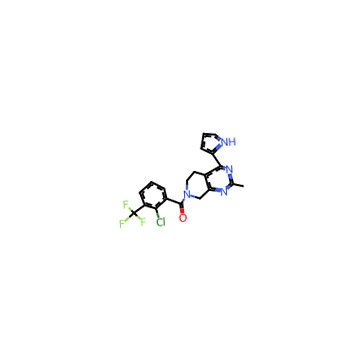 Cc1nc2c(c(-c3ccc[nH]3)n1)CCN(C(=O)c1cccc(C(F)(F)F)c1Cl)C2